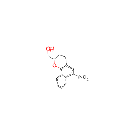 O=[N+]([O-])c1cc2c(c3ccccc13)OC(CO)CC2